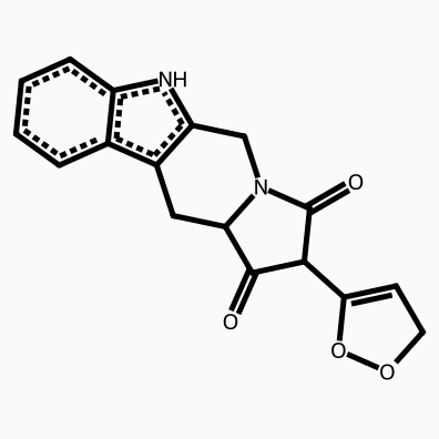 O=C1C(C2=CCOO2)C(=O)N2Cc3[nH]c4ccccc4c3CC12